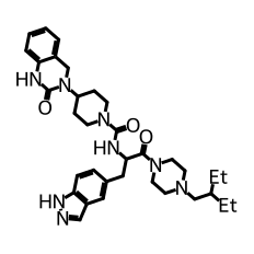 CCC(CC)CN1CCN(C(=O)C(Cc2ccc3[nH]ncc3c2)NC(=O)N2CCC(N3Cc4ccccc4NC3=O)CC2)CC1